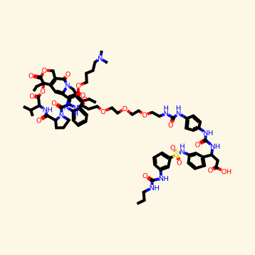 CCCNC(=O)Nc1cccc(S(=O)(=O)Nc2cccc(C(CC(=O)O)NC(=O)Nc3ccc(NC(=O)NCCOCCOCCOCCC(=O)NC(CC(=O)OCCCCN(C)C)C(=O)N4CCCC4C(=O)NC(C(=O)OC4(CC)C(=O)OCc5c4cc4n(c5=O)Cc5c-4nc4ccccc4c5CC)C(C)C)cc3)c2)c1